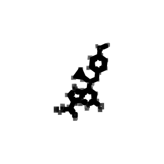 COc1ccc(CN(c2cc(Cl)nn3c(C(N)=O)cnc23)C2CC2)cc1